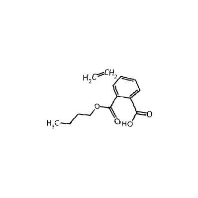 C=C.CCCCOC(=O)c1ccccc1C(=O)O